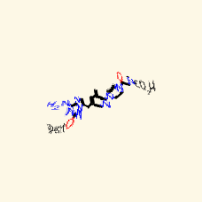 CCCC(C)Oc1nc(N)c2ncc(Cc3cnc(N4CCN(C(=O)CN(C)C(=O)O)CC4)c(C)c3)n2n1